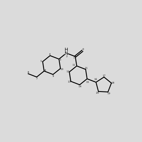 C=C(NC1CCC(CC)CC1)C1CCCC(C2CCCC2)C1